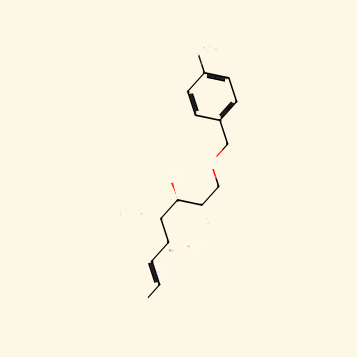 C/C=C/[C@@H](O)[C@H](C)[C@@H](O)[C@@H](C)COCc1ccc(OC)cc1